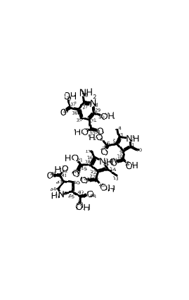 Cc1[nH]c(C)c(C(=O)O)c1C(=O)O.Cc1[nH]c(C)c(C(=O)O)c1C(=O)O.Nc1nc(O)c(C(=O)O)cc1C(=O)O.O=C(O)C1CNC(C(=O)O)C1